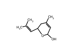 CC(C)=CC1CC(C)=CC(O)O1